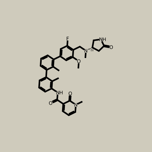 COc1cc(-c2cccc(-c3cccc(NC(=O)c4cccn(C)c4=O)c3C)c2C)cc(F)c1CN(C)[C@@H]1CNC(=O)C1